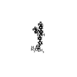 CC(C)(C)OC(=O)CN1CCC(c2ccc(C(=O)Nc3ccc(-c4ccc(C(F)(F)F)cc4)c(CN4CCC[C@H]4C(F)(F)F)c3)cc2)CC1